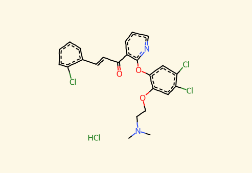 CN(C)CCOc1cc(Cl)c(Cl)cc1Oc1ncccc1C(=O)C=Cc1ccccc1Cl.Cl